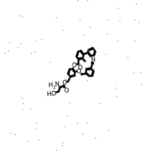 Cc1c(C(=O)Oc2ccc(COC(=O)[C@@H](N)CO)cc2OCc2cccc(C#N)c2)cccc1-c1ccccc1